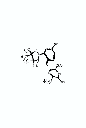 COC1=N[C@H](Cc2ccc(Br)cc2B2OC(C)(C)C(C)(C)O2)C(OC)=NC1C(C)C